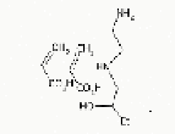 C=CC(=O)O.C=CC(=O)O.CCC(O)CNCCN